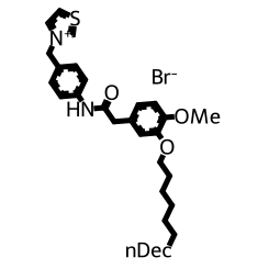 CCCCCCCCCCCCCCCCOc1cc(CC(=O)Nc2ccc(C[n+]3ccsc3)cc2)ccc1OC.[Br-]